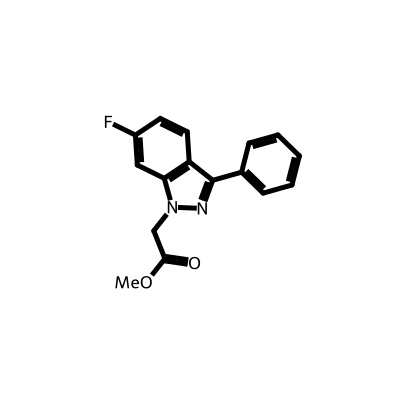 COC(=O)Cn1nc(-c2ccccc2)c2ccc(F)cc21